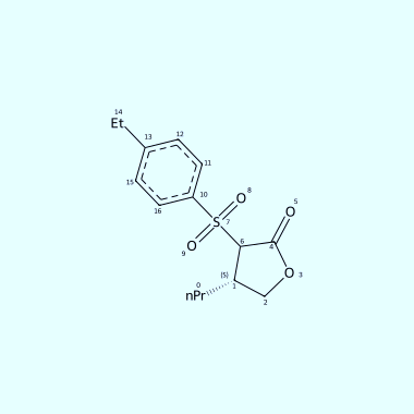 CCC[C@H]1COC(=O)C1S(=O)(=O)c1ccc(CC)cc1